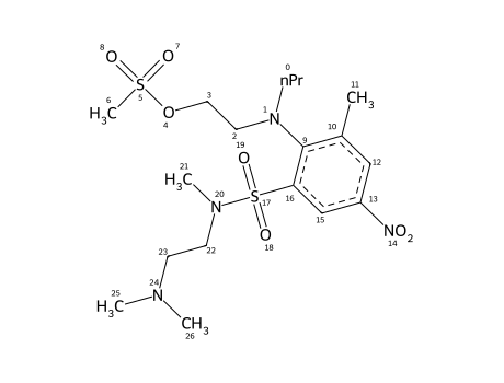 CCCN(CCOS(C)(=O)=O)c1c(C)cc([N+](=O)[O-])cc1S(=O)(=O)N(C)CCN(C)C